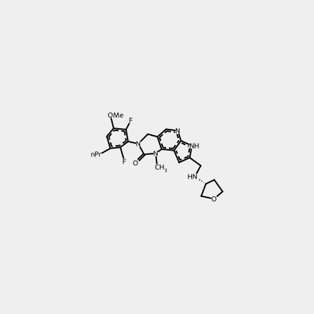 CCCc1cc(OC)c(F)c(N2Cc3cnc4[nH]c(CN[C@@H]5CCOC5)cc4c3N(C)C2=O)c1F